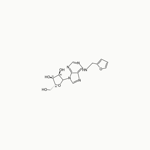 OC[C@H]1OC(n2cnc3c(NCc4ccco4)ncnc32)[C@H](O)[C@@H]1O